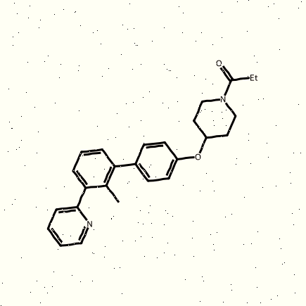 CCC(=O)N1CCC(Oc2ccc(-c3cccc(-c4ccccn4)c3C)cc2)CC1